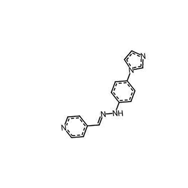 C(=NNc1ccc(-n2ccnc2)cc1)c1ccncc1